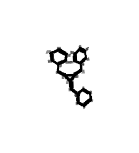 C(=C1C(=Cc2ccccc2)C1=Cc1ccccc1)c1ccccc1